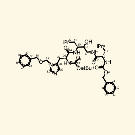 CC(C)C[C@H](NC(=O)OCc1ccccc1)C(=O)NCC(O)[C@H](CC(C)C)NC(=O)[C@H](Cc1cncn1COCc1ccccc1)NC(=O)OC(C)(C)C